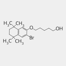 CC1(C)CCC(C)(C)c2cc(OCCCCCO)c(Br)cc21